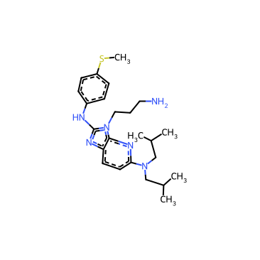 CSc1ccc(Nc2nc3ccc(N(CC(C)C)CC(C)C)nc3n2CCCN)cc1